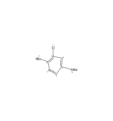 CSc1cnc(C(C)(C)C)c(Cl)c1